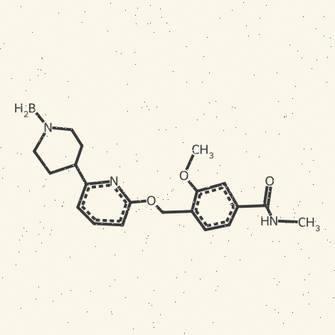 BN1CCC(c2cccc(OCc3ccc(C(=O)NC)cc3OC)n2)CC1